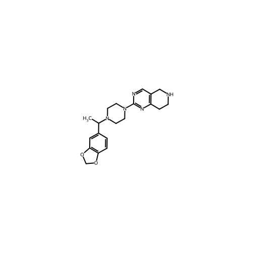 CC(c1ccc2c(c1)OCO2)N1CCN(c2ncc3c(n2)CCNC3)CC1